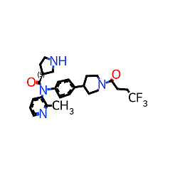 Cc1ncccc1N(C(=O)[C@H]1CCNC1)c1ccc(C2CCN(C(=O)CCC(F)(F)F)CC2)cc1